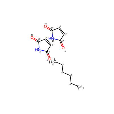 CCCCCC.O=C1C=CC(=O)N1.O=C1C=CC(=O)N1